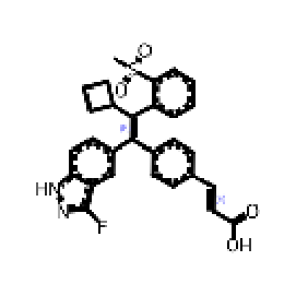 CS(=O)(=O)c1ccccc1/C(=C(\c1ccc(/C=C/C(=O)O)cc1)c1ccc2[nH]nc(F)c2c1)C1CCC1